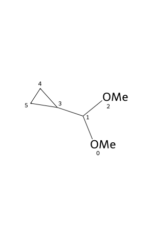 COC(OC)C1CC1